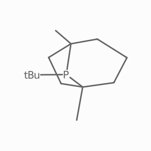 CC(C)(C)P1C2(C)CCCC1(C)CC2